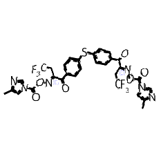 Cc1cn(C(=O)O/N=C(\CC(F)(F)F)C(=O)c2ccc(Sc3ccc(C(=O)/C(CC(F)(F)F)=N/OC(=O)n4cnc(C)c4)cc3)cc2)cn1